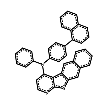 c1ccc(N(c2ccc(-c3cccc4ccccc34)cc2)c2ccnc3sc4cc5ccccc5cc4c23)cc1